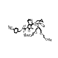 COCCOCN(COCCOC)S(=O)(=O)C1(COc2nccc3cc(C(=O)NCc4ccc(C#N)cc4)c(=O)n(C)c23)CC1